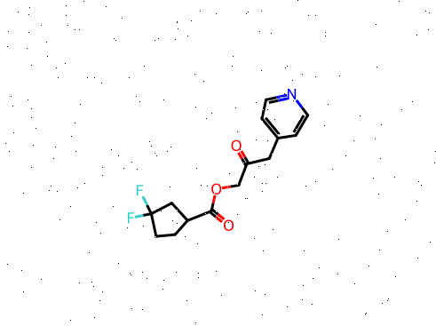 O=C(COC(=O)C1CCC(F)(F)C1)Cc1ccncc1